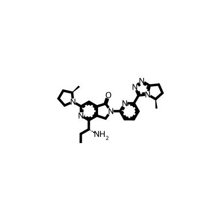 CC[C@@H](N)c1nc(N2CCC[C@H]2C)cc2c1CN(c1cccc(-c3nnc4n3[C@H](C)CC4)n1)C2=O